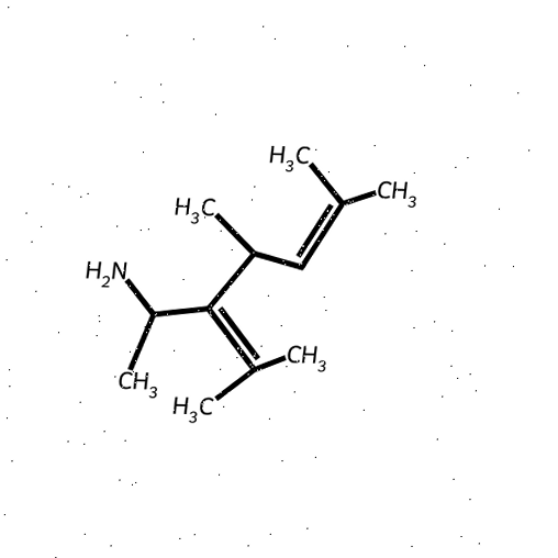 CC(C)=CC(C)C(=C(C)C)C(C)N